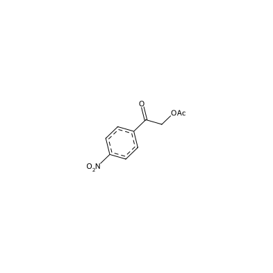 CC(=O)OCC(=O)c1ccc([N+](=O)[O-])cc1